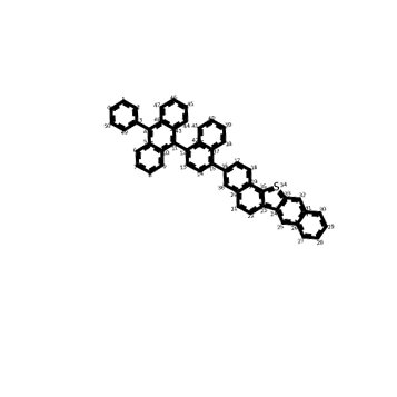 c1ccc(-c2c3ccccc3c(-c3ccc(-c4ccc5c(ccc6c7cc8ccccc8cc7sc56)c4)c4ccccc34)c3ccccc23)cc1